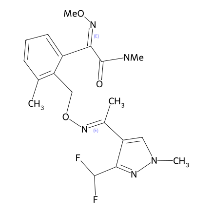 CNC(=O)/C(=N/OC)c1cccc(C)c1CO/N=C(\C)c1cn(C)nc1C(F)F